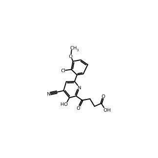 COc1cccc(-c2cc(C#N)c(O)c(C(=O)CCC(=O)O)n2)c1Cl